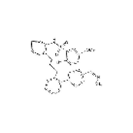 COc1ccc(Cl)c(S(=O)(=O)Nc2ccccc2SCCc2ccccc2-c2ccc(/C=N\N)cc2)c1